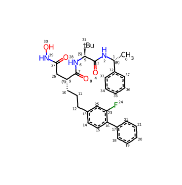 C[C@@H](NC(=O)[C@@H](NC(=O)[C@H](CCCc1ccc(-c2ccccc2)c(F)c1)CC(=O)NO)C(C)(C)C)c1ccccc1